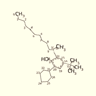 CCCCCCCCCCC(C)c1cc(C(C)(C)C)cc(C2CCCCC2)c1O